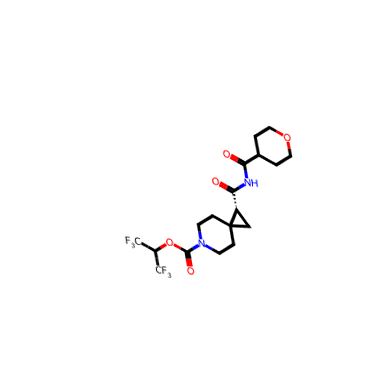 O=C(NC(=O)[C@@H]1CC12CCN(C(=O)OC(C(F)(F)F)C(F)(F)F)CC2)C1CCOCC1